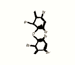 C=C1C(Br)=CC(Br)=C(OC2=C(Br)C=C(Br)C(=C)C2Br)C1Br